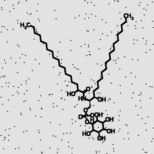 CCCCCCCCCCCCCCCCC[C@@H](O)[C@H](COP(=O)(O)OC1C(O)C(O)C(O)[C@@H](O)C1O)NC(=O)C(O)CCCCCCCCCCCCCCCC